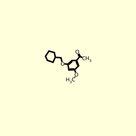 COc1cc(OCC2CCCCC2)cc(C(C)=O)c1